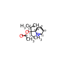 CCC(OC(C)=O)(c1ccccn1)C(C)C